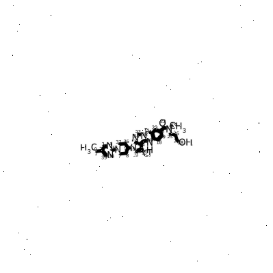 CCc1cnc(N2CCC(n3cc(Cl)c4c(Nc5ccc(C(=O)N(C)CCCO)cc5F)ncnc43)CC2)nc1